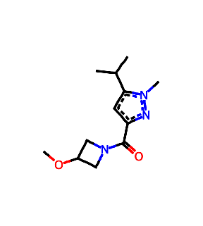 COC1CN(C(=O)c2cc(C(C)C)n(C)n2)C1